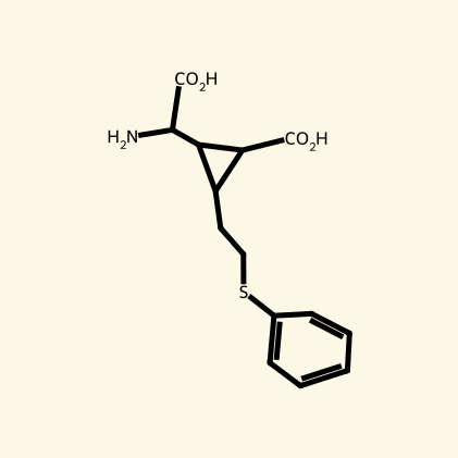 NC(C(=O)O)C1C(CCSc2ccccc2)C1C(=O)O